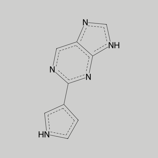 c1cc(-c2ncc3nc[nH]c3n2)c[nH]1